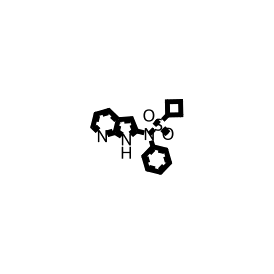 O=S(=O)(C1CCC1)N(c1ccccc1)c1cc2cccnc2[nH]1